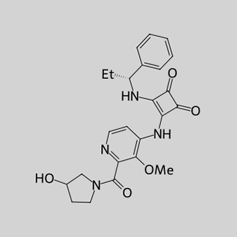 CC[C@@H](Nc1c(Nc2ccnc(C(=O)N3CCC(O)C3)c2OC)c(=O)c1=O)c1ccccc1